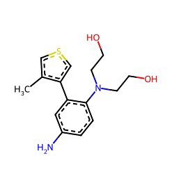 Cc1cscc1-c1cc(N)ccc1N(CCO)CCO